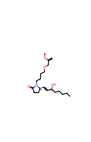 C=C(COCCCCN1C(=O)CC[C@@H]1/C=C/[C@@H](O)CCCCC)OC